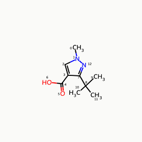 Cn1cc(C(=O)O)c(C(C)(C)C)n1